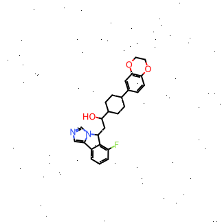 OC(CC1c2c(F)cccc2-c2cncn21)C1CCC(c2ccc3c(c2)OCCO3)CC1